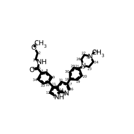 COCCNC(=O)c1ccc(-c2c[nH]c3ncc(-c4ccc(N5CCN(C)CC5)cc4)cc23)cc1